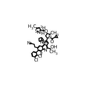 [2H]C([2H])(OC1CC(c2cc3c(C(C)O)nc4c(F)c(-c5cccc(Cl)c5Cl)c(CCC#N)cc4c3n2C2C3CNC2C3)N(C(=O)C2CC2)C1C)c1cc(C)sn1